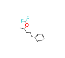 CC(CCCc1ccccc1)OC(F)F